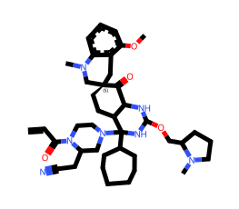 C=CC(=O)N1CCN(C2(C3CCCCCC3)NC(OCC3CCCN3C)NC3C(=O)[C@@]4(CCC32)Cc2c(OC)cccc2N(C)C4)CC1CC#N